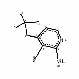 CC(C)(C)Cc1ccnc(N)c1Br